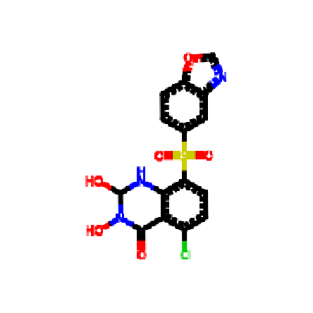 O=C1c2c(Cl)ccc(S(=O)(=O)c3ccc4ocnc4c3)c2NC(O)N1O